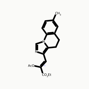 CCOC(=O)/C(=C/c1ncn2c1CCc1cc(C)ccc1-2)OC(C)=O